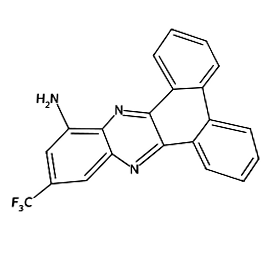 Nc1cc(C(F)(F)F)cc2nc3c4ccccc4c4ccccc4c3nc12